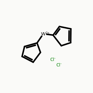 C1=CC[C]([W+2][C]2=CC=CC2)=C1.[Cl-].[Cl-]